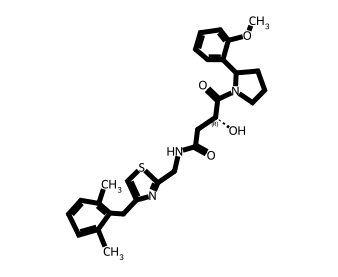 COc1ccccc1C1CCCN1C(=O)[C@H](O)CC(=O)NCc1nc(Cc2c(C)cccc2C)cs1